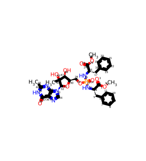 COC(=O)[C@H](Cc1ccccc1)NP(=O)(N[C@@H](Cc1ccccc1)C(=O)OC)OC[C@H]1O[C@@H](n2cnc3c(=O)[nH]c(C)nc32)C(C)(O)[C@H]1O